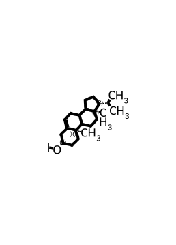 CC(C)[C@H]1CCC2C3CC=C4C[C@@H](OI)CC[C@]4(C)C3CC[C@@]21C